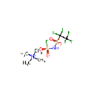 C[N+](C)(C)C.O=S(=O)(F)NS(=O)(=O)C(F)(F)C(F)(F)F